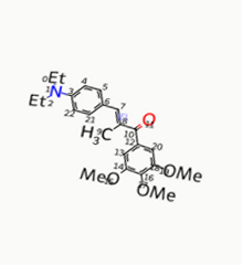 CCN(CC)c1ccc(/C=C(\C)C(=O)c2cc(OC)c(OC)c(OC)c2)cc1